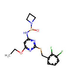 CCOc1cc(N[S+]([O-])N2CCC2)nc(SCc2cccc(F)c2F)n1